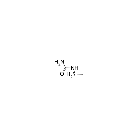 C[SiH2]NC(N)=O